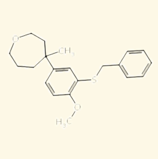 COc1ccc(C2(C)CCCOCC2)cc1SCc1ccccc1